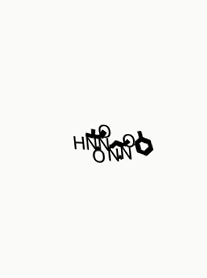 Cc1ccccc1Oc1cc(N2C(=O)NC(C)(C)C2=O)ncn1